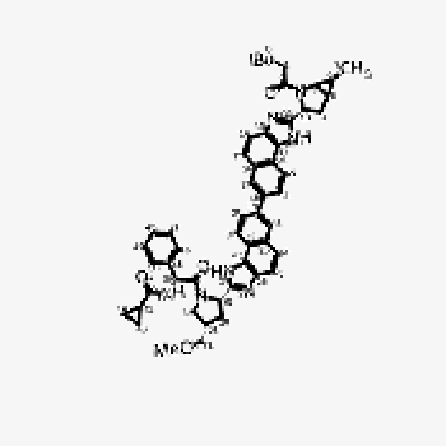 CC[C@H](C)CC(=O)N1C2C(C)C2C[C@H]1c1nc2ccc3cc(-c4ccc5c(ccc6nc([C@@H]7C[C@H](COC)CN7C(=O)[C@H](NC(=O)C7CC7)c7ccccc7)[nH]c65)c4)ccc3c2[nH]1